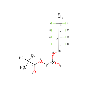 CCC(C)(C)C(=O)OCC(=O)OCC(F)(F)C(F)(F)C(F)(F)C(F)(F)C(F)(F)F